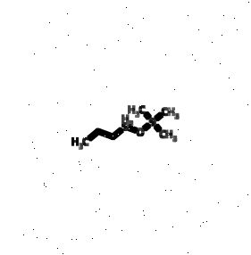 CCC[SiH2]O[Si](C)(C)C